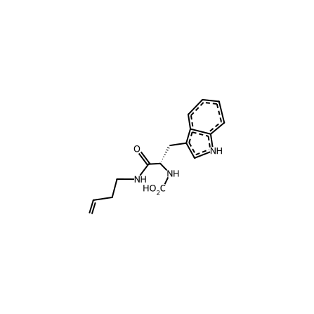 C=CCCNC(=O)[C@H](Cc1c[nH]c2ccccc12)NC(=O)O